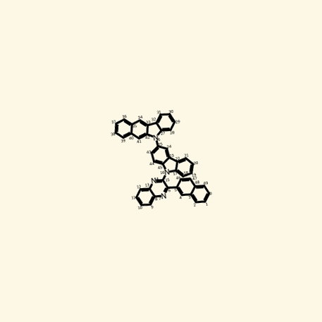 c1ccc2cc(-c3nc4ccccc4nc3-n3c4ccccc4c4cc(-n5c6ccccc6c6cc7ccccc7cc65)ccc43)ccc2c1